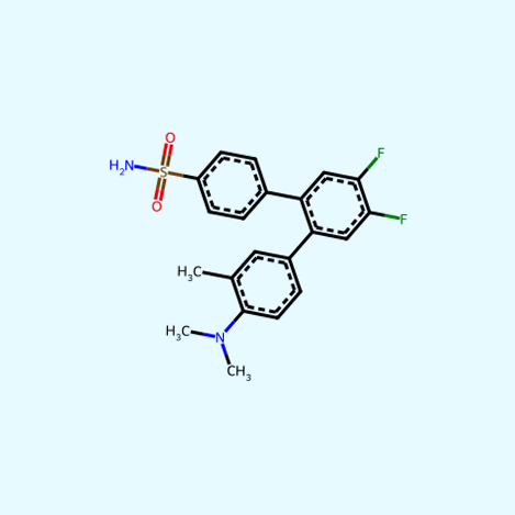 Cc1cc(-c2cc(F)c(F)cc2-c2ccc(S(N)(=O)=O)cc2)ccc1N(C)C